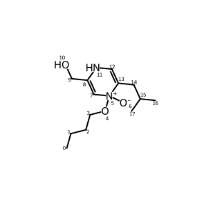 CCCCO[N+]1([O-])C=C(CO)NC=C1CC(C)C